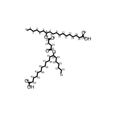 CCCCCCC(CCCCCCCCCCC(=O)O)OC(=O)CCC(=O)OC(CCCCCC)CCCCCCCCCCC(=O)O